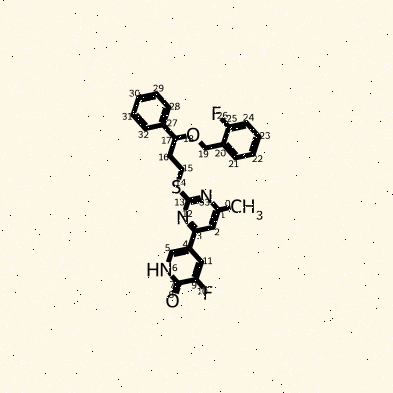 Cc1cc(-c2c[nH]c(=O)c(F)c2)nc(SCCC(OCc2ccccc2F)c2ccccc2)n1